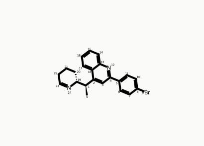 C[C@H](c1cc(-c2ccc(Br)cc2)nc2ccccc12)[C@H]1CCCC=N1